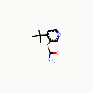 CC(C)(C)c1ccncc1SC(N)=O